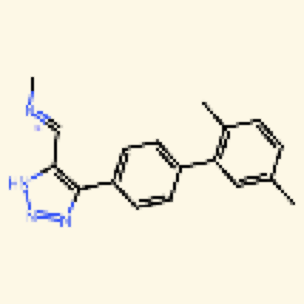 C/N=C/c1[nH]nnc1-c1ccc(-c2cc(C)ccc2C)cc1